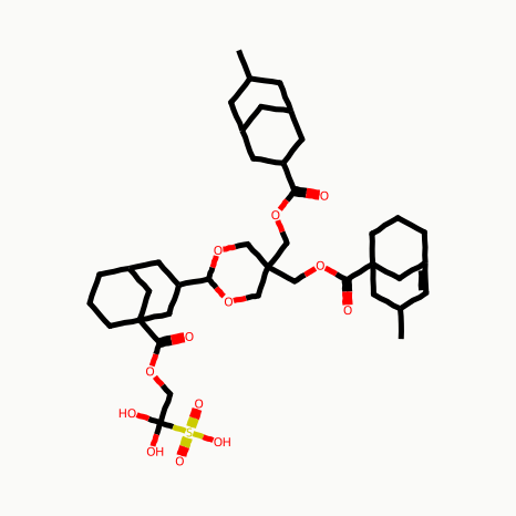 CC1C=C2CCCC(C(=O)OCC3(COC(=O)C4CC5CC(C)CC(C5)C4)COC(C4CC5CCCC(C(=O)OCC(O)(O)S(=O)(=O)O)(C5)C4)OC3)(C2)C1